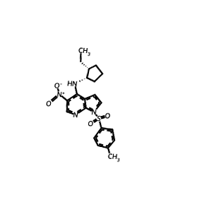 CC[C@@H]1CCC[C@@H]1Nc1c([N+](=O)[O-])cnc2c1ccn2S(=O)(=O)c1ccc(C)cc1